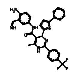 CC1=C(C(=O)Nc2ccc(N)c(C=N)c2)C(c2ccc(-c3ccccc3)s2)N=C(c2ccc(C(F)(F)F)cc2)N1